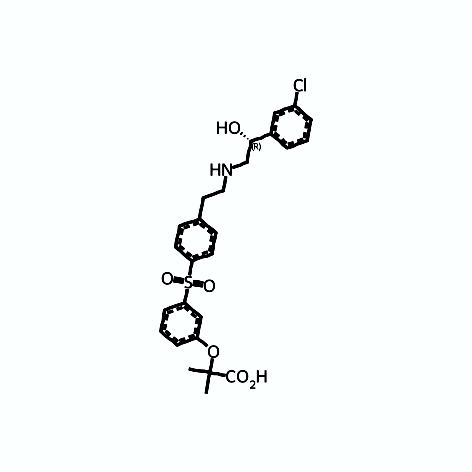 CC(C)(Oc1cccc(S(=O)(=O)c2ccc(CCNC[C@H](O)c3cccc(Cl)c3)cc2)c1)C(=O)O